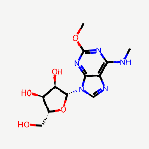 CNc1nc(OC)nc2c1ncn2[C@@H]1O[C@H](CO)[C@@H](O)[C@H]1O